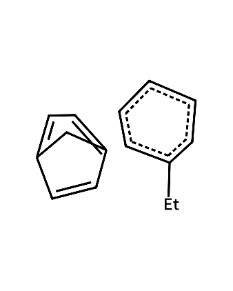 C1=CC2=CC=C1C2.CCc1ccccc1